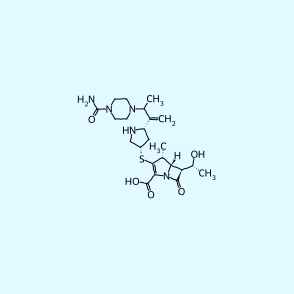 C=C(C(C)N1CCN(C(N)=O)CC1)[C@@H]1C[C@H](SC2=C(C(=O)O)N3C(=O)[C@H]([C@@H](C)O)[C@H]3[C@H]2C)CN1